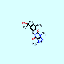 Cc1cc(Cn2c(=O)c3c(ncn3C)n(C)c2=O)cc(C(C)(O)C(F)(F)F)c1